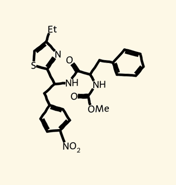 CCc1csc(C(Cc2ccc([N+](=O)[O-])cc2)NC(=O)C(Cc2ccccc2)NC(=O)OC)n1